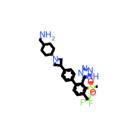 CS(=O)(=O)c1c(C(F)(F)F)ccc(-c2ccc(C3CN(C4CCC(CN)CC4)C3)cc2)c1-c1nnn[nH]1